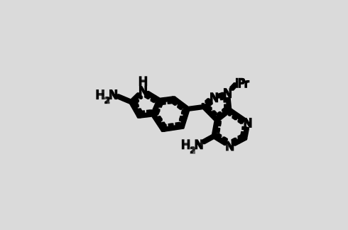 CC(C)n1nc(-c2ccc3cc(N)[nH]c3c2)c2c(N)ncnc21